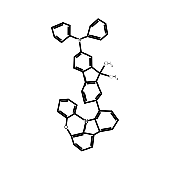 CC1(C)c2cc(-c3cccc4c5cccc6c5n(c34)-c3ccccc3O6)ccc2-c2ccc(N(c3ccccc3)c3ccccc3)cc21